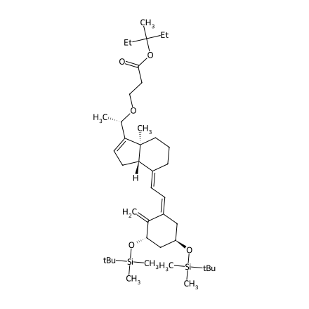 C=C1C(=CC=C2CCC[C@]3(C)C([C@H](C)OCCC(=O)OC(C)(CC)CC)=CC[C@@H]23)C[C@@H](O[Si](C)(C)C(C)(C)C)C[C@@H]1O[Si](C)(C)C(C)(C)C